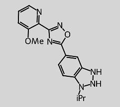 COc1cccnc1-c1noc(-c2ccc3c(c2)NNN3C(C)C)n1